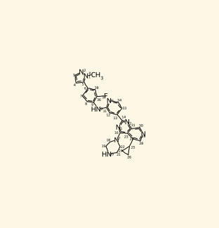 Cn1nccc1-c1ccc(Nc2cc(-c3nc(N4CCNCC4)c4c(C5CC5)cncc4n3)ccn2)c(F)c1